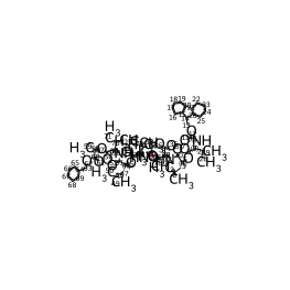 CC(C)C[C@@H](OC(=O)[C@@H](NC(=O)OCC1c2ccccc2-c2ccccc21)C(C)C)C(=O)N[C@@H](C(=O)O[C@@H](C)C(=O)N[C@H](C(=O)O[C@H](CC(C)C)C(=O)N[C@@H](C(=O)O[C@@H](C)C(=O)OCc1ccccc1)C(C)C)C(C)C)C(C)C